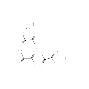 O.O=C([O-])C(=O)[O-].O=C([O-])C(=O)[O-].O=C([O-])C(=O)[O-].[Gd+3].[Gd+3]